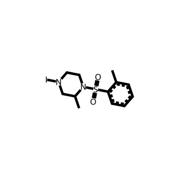 Cc1ccccc1S(=O)(=O)N1CCN(I)CC1C